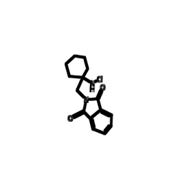 O=C1c2ccccc2C(=O)N1CC1(NCl)CCCCC1